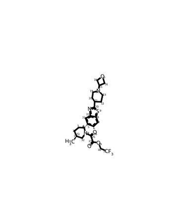 C[C@H]1CC[C@H](c2ccc3sc(C4CCN(C5COC5)CC4)nc3c2)N(C(=O)C(=O)OCC(F)(F)F)C1